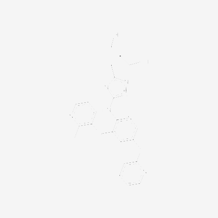 Cc1ncccc1Oc1cc(Sc2ccccn2)cnc1Nc1nc(CC(C)(CO)CO)ns1